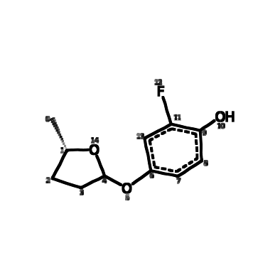 C[C@H]1CCC(Oc2ccc(O)c(F)c2)O1